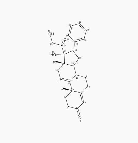 C[C@]12CCC(=O)C=C1CCC1C2=CC[C@@]2(C)C1C[C@@H](c1ccccc1)[C@]2(O)C(=O)CO